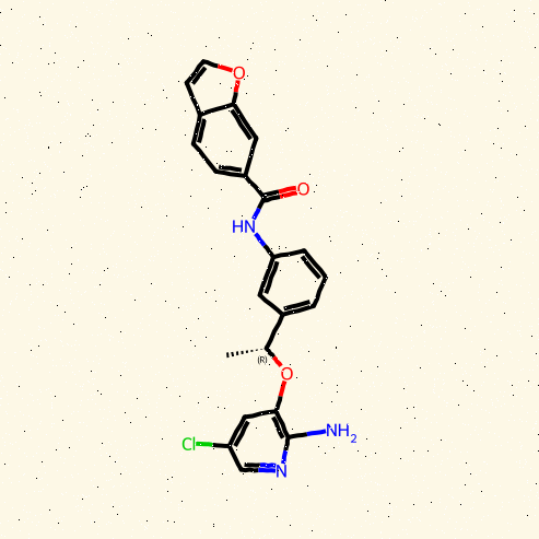 C[C@@H](Oc1cc(Cl)cnc1N)c1cccc(NC(=O)c2ccc3ccoc3c2)c1